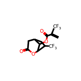 C=C(C(=O)OC1C2CC(=O)OC1C(C(F)(F)F)C2)C(F)(F)F